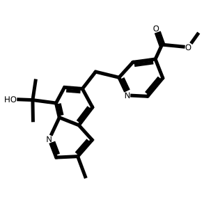 COC(=O)c1ccnc(Cc2cc(C(C)(C)O)c3ncc(C)cc3c2)c1